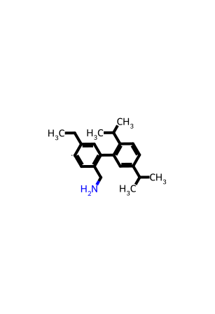 CCc1[c]cc(CN)c(-c2cc(C(C)C)ccc2C(C)C)c1